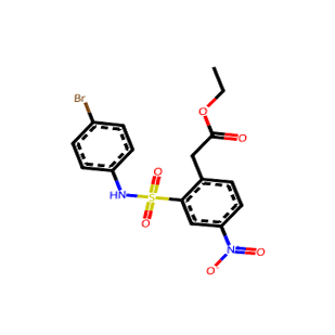 CCOC(=O)Cc1ccc([N+](=O)[O-])cc1S(=O)(=O)Nc1ccc(Br)cc1